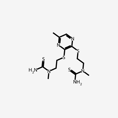 Cc1cnc(SCCN(C)C(N)=S)c(SCCN(C)C(N)=S)n1